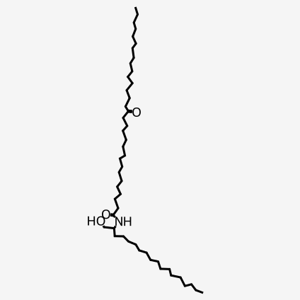 CCCCCCCCCCCCCCCCC(CO)NC(=O)CCCCCCCCCCCCCCC(=O)CCCCCCCCCCCCCCC